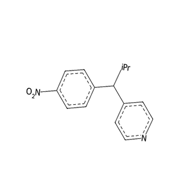 CC(C)C(c1ccncc1)c1ccc([N+](=O)[O-])cc1